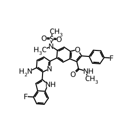 CNC(=O)c1c(-c2ccc(F)cc2)oc2cc(N(C)S(C)(=O)=O)c(-c3ccc(N)c(-c4cc5c(F)cccc5[nH]4)n3)cc12